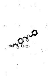 CC(C)(C)OC(=O)N1CCN(CC(=O)OCc2ccccc2)C[C@@H]1C=O